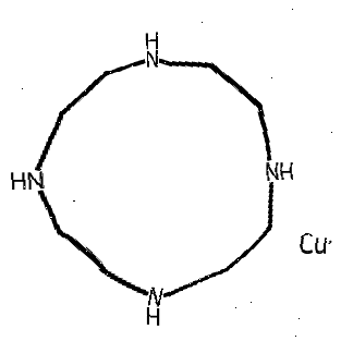 C1CNCCNCCNCCN1.[Cu]